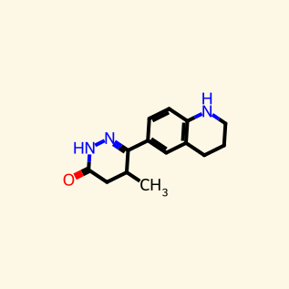 CC1CC(=O)NN=C1c1ccc2c(c1)CCCN2